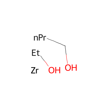 CCCCO.CCO.[Zr]